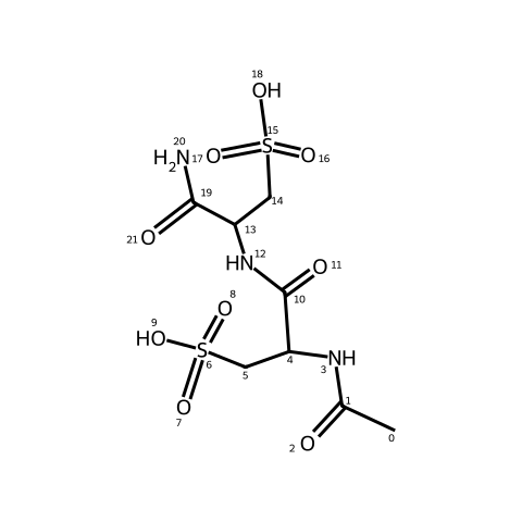 CC(=O)NC(CS(=O)(=O)O)C(=O)NC(CS(=O)(=O)O)C(N)=O